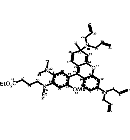 C=CCN(CC=C)c1ccc2c(c1)OC1=CC(C)(N(CC=C)CC=C)C=CC1=C2c1cc(N(C)C)c(N(CC)CCCC(=O)OCC)cc1OC